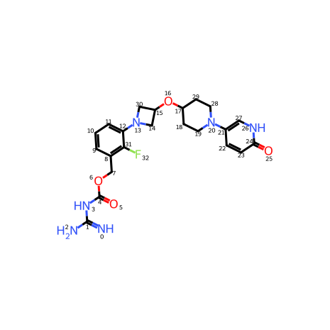 N=C(N)NC(=O)OCc1cccc(N2CC(OC3CCN(c4ccc(=O)[nH]c4)CC3)C2)c1F